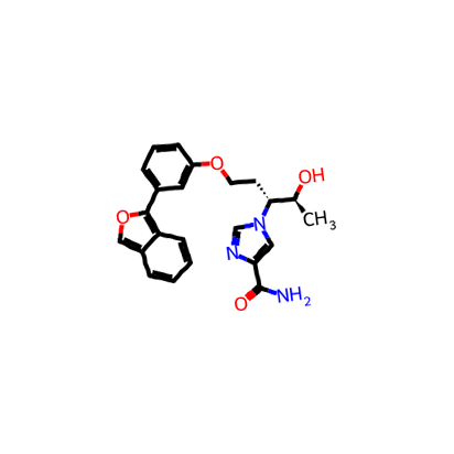 C[C@H](O)[C@@H](CCOc1cccc(-c2occ3ccccc23)c1)n1cnc(C(N)=O)c1